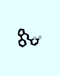 O=c1cccc(C=Cc2ccccc2-c2ccccc2)o1